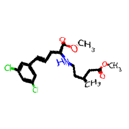 COC(=O)CC(C)CCNC(CC=Cc1cc(Cl)cc(Cl)c1)C(=O)OC